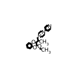 CCOC(=O)C(Oc1ccccc1)C(C)CN1CCN(c2ccncc2)CC1